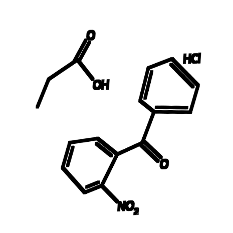 CCC(=O)O.Cl.O=C(c1ccccc1)c1ccccc1[N+](=O)[O-]